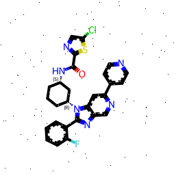 O=C(N[C@H]1CCC[C@@H](n2c(-c3ccccc3F)nc3cnc(-c4ccncc4)cc32)C1)c1ncc(Cl)s1